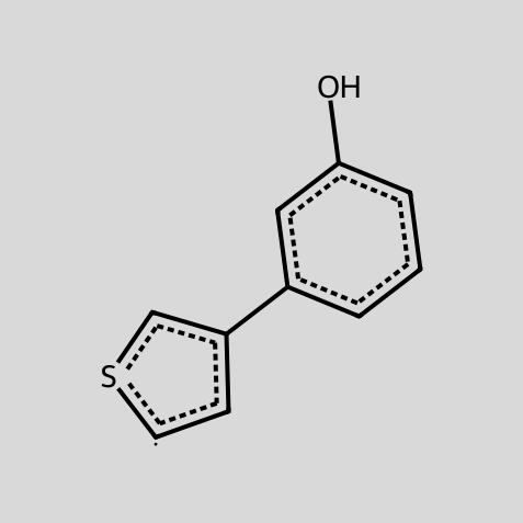 Oc1cccc(-c2c[c]sc2)c1